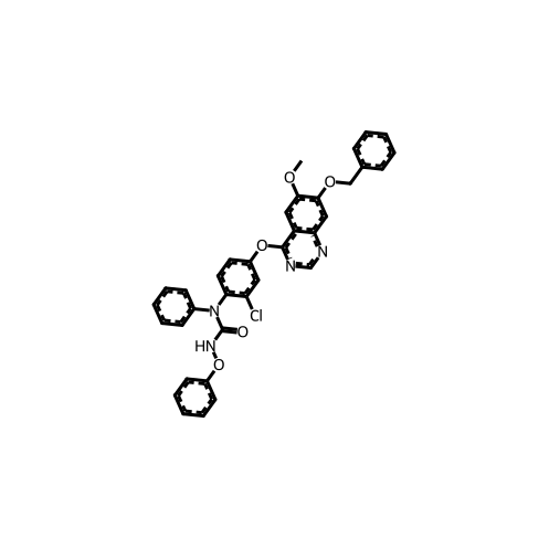 COc1cc2c(Oc3ccc(N(C(=O)NOc4ccccc4)c4ccccc4)c(Cl)c3)ncnc2cc1OCc1ccccc1